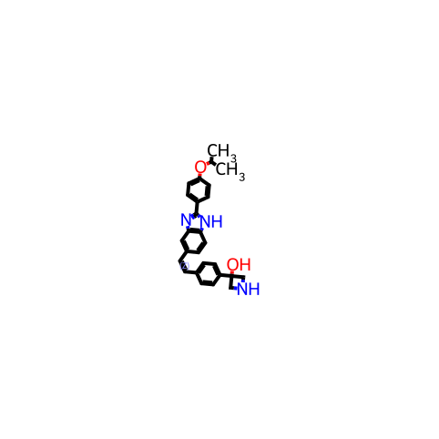 CC(C)Oc1ccc(-c2nc3cc(/C=C\c4ccc(C5(O)CNC5)cc4)ccc3[nH]2)cc1